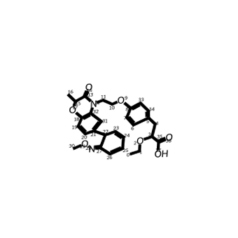 CCOC(Cc1ccc(OCCN2C(=O)C(C)Oc3ccc(C4C=CC=CC4=NOC)cc32)cc1)C(=O)O